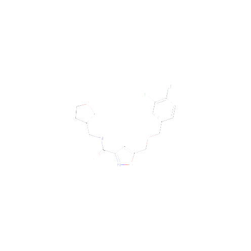 O=C(NCC1CCOC1)c1cc(COCc2ccc(Cl)c(F)c2)on1